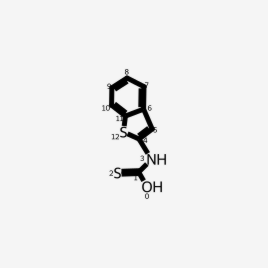 OC(=S)Nc1cc2ccccc2s1